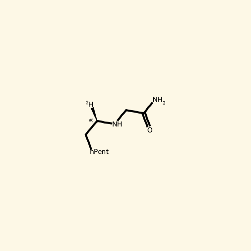 [2H][C@H](CCCCCC)NCC(N)=O